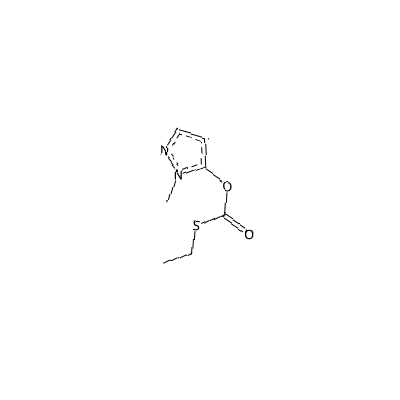 CCSC(=O)Oc1[c]cnn1C